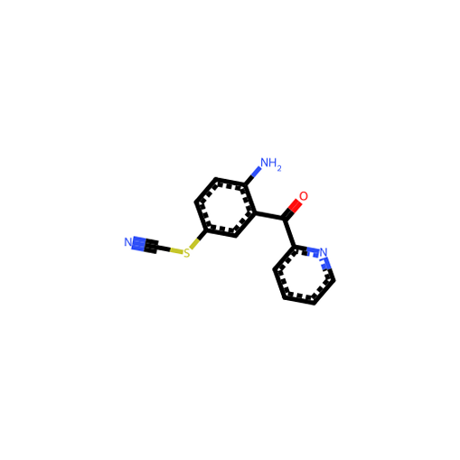 N#CSc1ccc(N)c(C(=O)c2ccccn2)c1